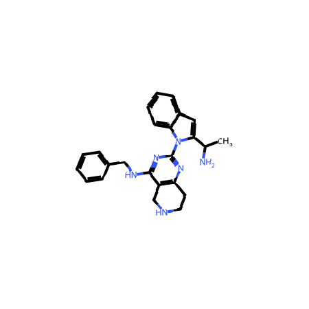 CC(N)c1cc2ccccc2n1-c1nc2c(c(NCc3ccccc3)n1)CNCC2